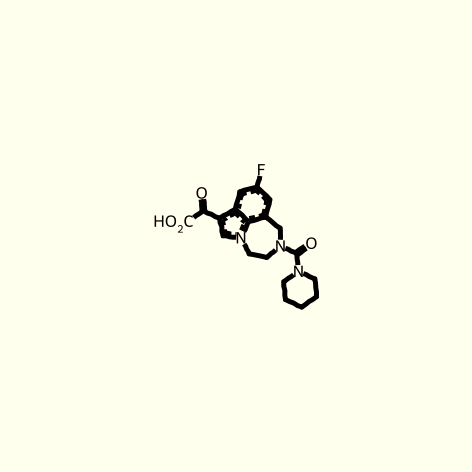 O=C(O)C(=O)c1cn2c3c(cc(F)cc13)CN(C(=O)N1CCCCC1)CC2